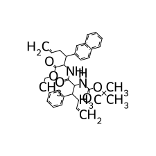 C=CCC(c1ccccc1)C(NC(=O)OC(C)(C)C)C(=O)NC(C(=O)OCC)C(CC=C)c1ccc2ccccc2c1